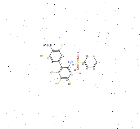 COc1c(F)cc(-c2c(F)c(F)c(F)c(F)c2NS(=O)(=O)c2ccccc2)cc1F